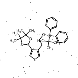 CC1(C)OB(c2cscc2CCO[Si](c2ccccc2)(c2ccccc2)C(C)(C)C)OC1(C)C